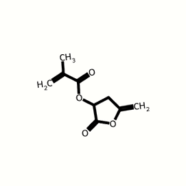 C=C1CC(OC(=O)C(=C)C)C(=O)O1